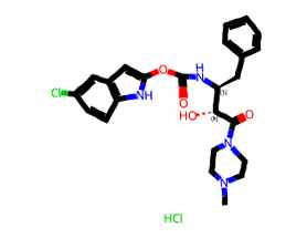 CN1CCN(C(=O)[C@H](O)[C@H](Cc2ccccc2)NC(=O)Oc2cc3cc(Cl)ccc3[nH]2)CC1.Cl